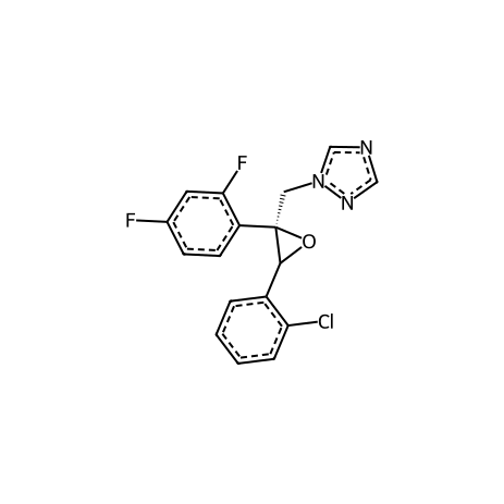 Fc1ccc([C@@]2(Cn3cncn3)OC2c2ccccc2Cl)c(F)c1